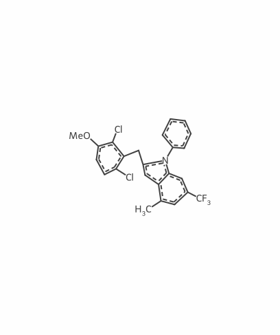 COc1ccc(Cl)c(Cc2cc3c(C)cc(C(F)(F)F)cc3n2-c2ccccc2)c1Cl